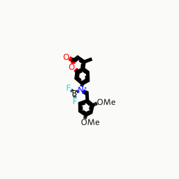 COc1ccc(/C=[N+](\B(F)F)c2ccc3c(C)cc(=O)oc3c2)c(OC)c1